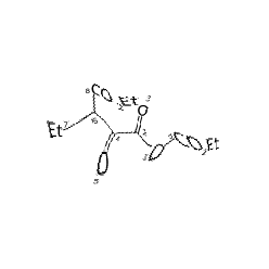 CCOC(=O)OC(=O)C(=O)C(CC)C(=O)OCC